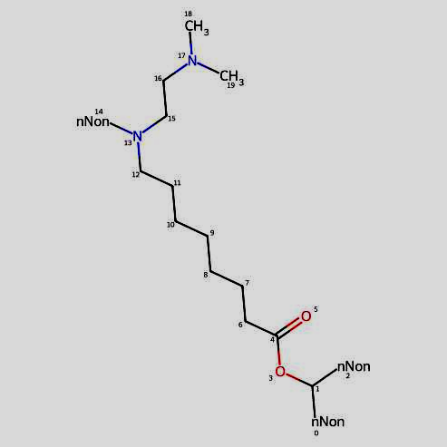 CCCCCCCCCC(CCCCCCCCC)OC(=O)CCCCCCCN(CCCCCCCCC)CCN(C)C